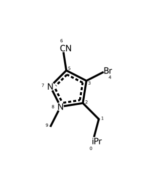 CC(C)Cc1c(Br)c(C#N)nn1C